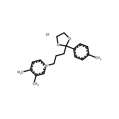 Cc1ccc(C2(CCC[n+]3ccc(C)c(C)c3)OCCO2)cc1.[Cl-]